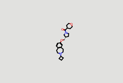 O=C(C1CCOCC1)N1CC[C@H](COc2ccc3c(c2)CCN(C2CCC2)CC3)C1